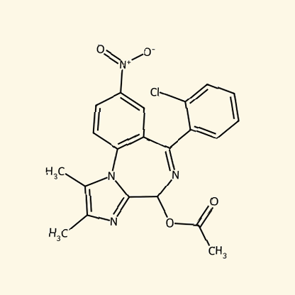 CC(=O)OC1N=C(c2ccccc2Cl)c2cc([N+](=O)[O-])ccc2-n2c1nc(C)c2C